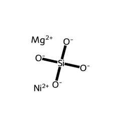 [Mg+2].[Ni+2].[O-][Si]([O-])([O-])[O-]